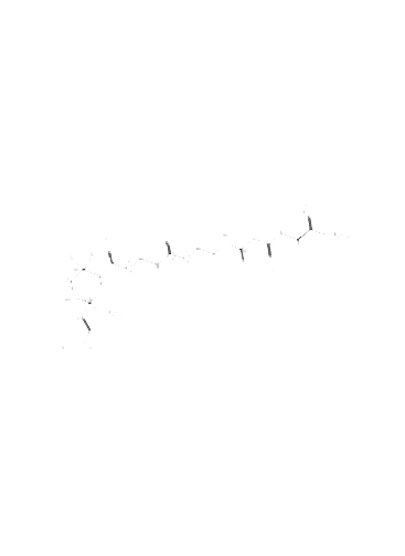 COC(=O)CCC(=O)CC(=O)SCCNC(=O)CCNC(=O)[C@@H]1OC(/C=C/C(=O)O)(OC)OCC1(C)C